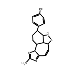 Nc1nc2n(n1)C1CCC(c3ccc(O)cc3)C3NSC(C=C2)C31